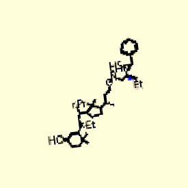 CC/C=C(\CN(C=O)OCC[C@@H](C)C1CCC(C(C)C[C@H](CC)C2C[C@H](O)CCC2(C)C)C1(C)CCC)N(S)Cc1ccccc1